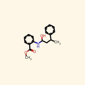 COC(=O)c1ccccc1NC(O)CC(C)c1ccccc1